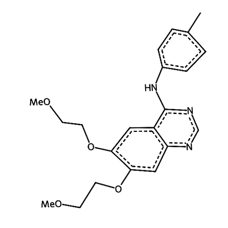 COCCOc1cc2ncnc(Nc3ccc(C)cc3)c2cc1OCCOC